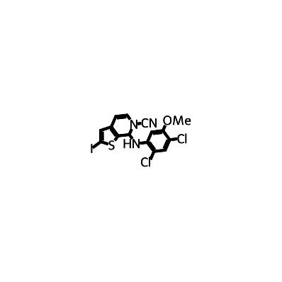 COc1cc(NC2c3sc(I)cc3C=CN2C#N)c(Cl)cc1Cl